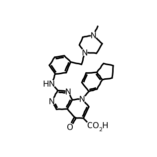 CN1CCN(Cc2cccc(Nc3ncc4c(=O)c(C(=O)O)cn(-c5ccc6c(c5)CCC6)c4n3)c2)CC1